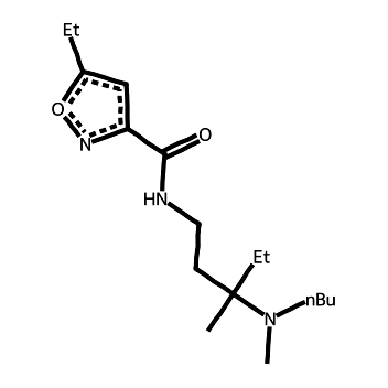 CCCCN(C)C(C)(CC)CCNC(=O)c1cc(CC)on1